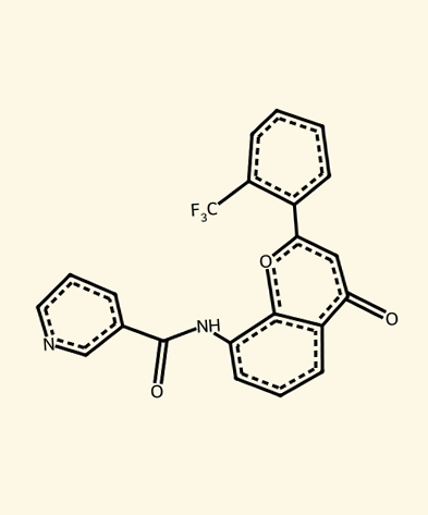 O=C(Nc1cccc2c(=O)cc(-c3ccccc3C(F)(F)F)oc12)c1cccnc1